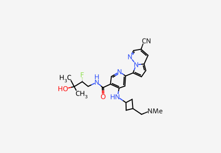 CNCC1CC(Nc2cc(-c3ccc4cc(C#N)cnn34)ncc2C(=O)NC[C@@H](F)C(C)(C)O)C1